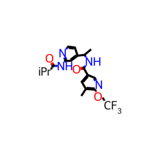 Cc1cc(C(=O)NC(C)c2ccnc(NC(=O)C(C)C)c2)cnc1OCC(F)(F)F